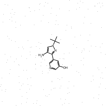 CC(C)(C)n1cc(N)c(-c2cncc(O)c2)n1